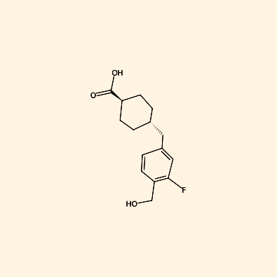 O=C(O)[C@H]1CC[C@H](Cc2ccc(CO)c(F)c2)CC1